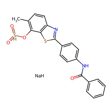 Cc1ccc2nc(-c3ccc(NC(=O)c4ccccc4)cc3)sc2c1O[SH](=O)=O.[NaH]